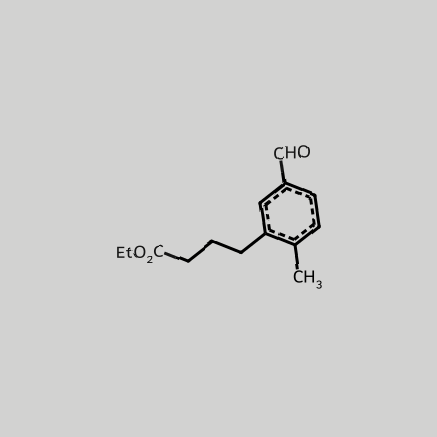 CCOC(=O)CCCc1cc(C=O)ccc1C